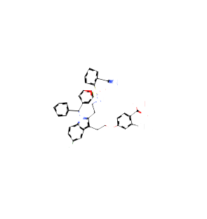 Cc1cc(OCCc2c(CCNS(=O)(=O)c3ccccc3C#N)n(C(c3ccccc3)c3ccccc3)c3ccc(Cl)cc23)ccc1C(=O)O